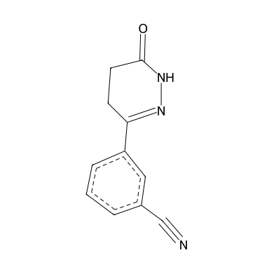 N#Cc1cccc(C2=NNC(=O)CC2)c1